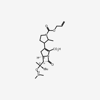 C=CCOC(=O)N1CCC(C2=C(C(=O)O)N3C(=O)[C@H]([C@@](C)(O[SiH](C)C)C(C)(C)C)[C@H]3C2)C1C